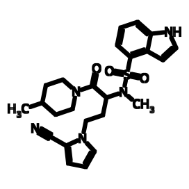 CC1CCN(C(=O)C(CCn2cccc2C#N)N(C)S(=O)(=O)c2cccc3[nH]ccc23)CC1